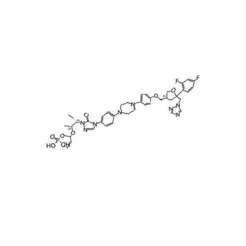 CCC(O[C@@H](C)[C@H](CC)n1ncn(-c2ccc(N3CCN(c4ccc(OC[C@H]5COC(Cn6cncn6)(c6ccc(F)cc6F)C5)cc4)CC3)cc2)c1=O)OP(=O)(O)O